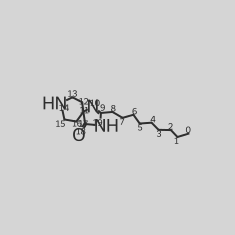 CCCCCCCCCC1=NC2(CCNCC2)C(=O)N1